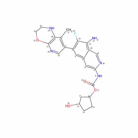 Cc1c(-c2cc3cc(NC(=O)OC4CCC(O)C4)ncc3c(N)c2F)cnc2c1NCCO2